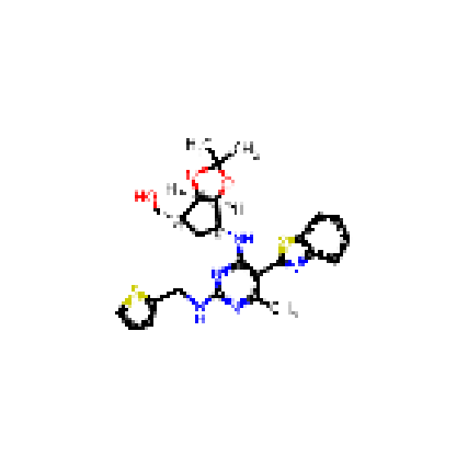 Cc1nc(NCc2cccs2)nc(N[C@@H]2C[C@H](CO)[C@H]3OC(C)(C)O[C@H]32)c1-c1nc2ccccc2s1